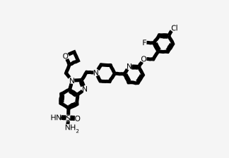 N=S(N)(=O)c1ccc2c(c1)nc(CN1CCC(c3cccc(OCc4ccc(Cl)cc4F)n3)CC1)n2CC1CCO1